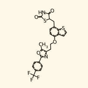 Cc1oc(-c2ccc(C(F)(F)F)cc2)nc1CCOc1ccc(CC2SC(=O)NC2=O)c2sccc12